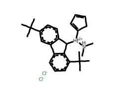 C[SiH](C)[Hf+2]([C]1=CC=CC1)[CH]1c2ccc(C(C)(C)C)cc2-c2cccc(C(C)(C)C)c21.[Cl-].[Cl-]